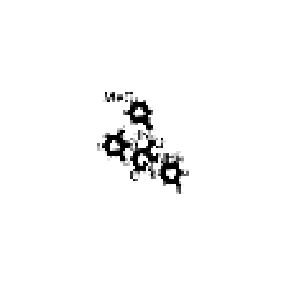 COc1ccc(CNC(=O)c2c(Oc3c(C)cccc3C)cc(=O)n(C)c2Nc2ccc(I)cc2F)cc1